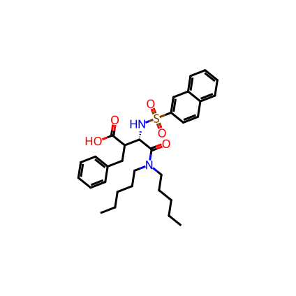 CCCCCN(CCCCC)C(=O)[C@@H](NS(=O)(=O)c1ccc2ccccc2c1)C(Cc1ccccc1)C(=O)O